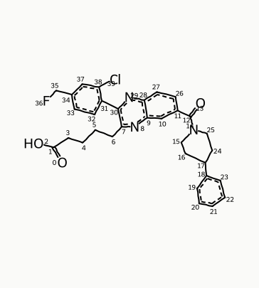 O=C(O)CCCCc1nc2cc(C(=O)N3CCC(c4ccccc4)CC3)ccc2nc1-c1ccc(CF)cc1Cl